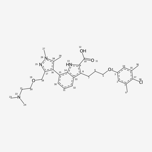 Cc1cc(OCCCc2c(C(=O)O)[nH]c3c(-c4c(COCCN(C)C)nn(C)c4C)cccc23)cc(C)c1Cl